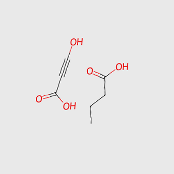 CCCC(=O)O.O=C(O)C#CO